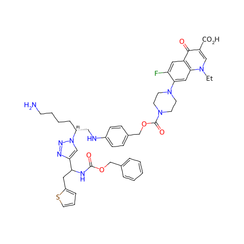 CCn1cc(C(=O)O)c(=O)c2cc(F)c(N3CCN(C(=O)OCc4ccc(NC[C@@H](CCCCN)n5cc(C(Cc6cccs6)NC(=O)OCc6ccccc6)nn5)cc4)CC3)cc21